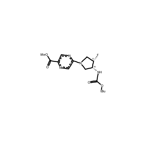 COC(=O)c1cnc(N2C[C@H](F)[C@H](NC(=O)OC(C)(C)C)C2)cn1